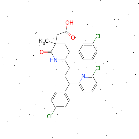 CC1(CC(=O)O)CC(c2cccc(Cl)c2)C(CCC(c2ccc(Cl)cc2)c2cccc(Cl)n2)NC1=O